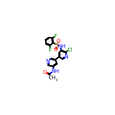 CC(=O)Nc1cncc(-c2cnc(Cl)c(NS(=O)(=O)c3c(F)cccc3F)c2)c1